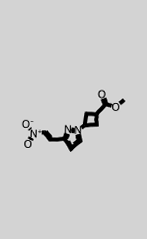 COC(=O)C1CC(n2ccc(C=C[N+](=O)[O-])n2)C1